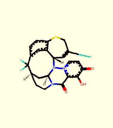 O=C1c2c(O)c(=O)ccn2N2[C@H]3c4ccc(F)cc4CSc4ccc(cc43)C(F)(F)[C@@H]3CCN1[C@H]2C3